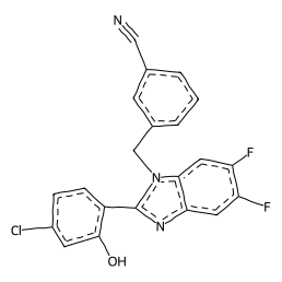 N#Cc1cccc(Cn2c(-c3ccc(Cl)cc3O)nc3cc(F)c(F)cc32)c1